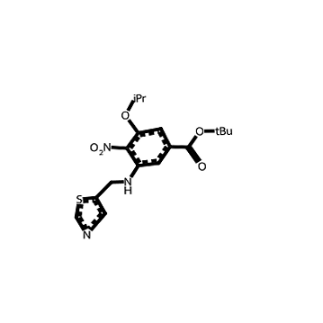 CC(C)Oc1cc(C(=O)OC(C)(C)C)cc(NCc2cncs2)c1[N+](=O)[O-]